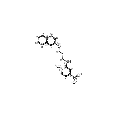 O=[N+]([O-])c1cc[n+]([O-])c(NCCCOc2ccc3ccccc3c2)c1